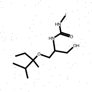 CCC(C)(OCC(CO)NC(=O)NI)C(C)C